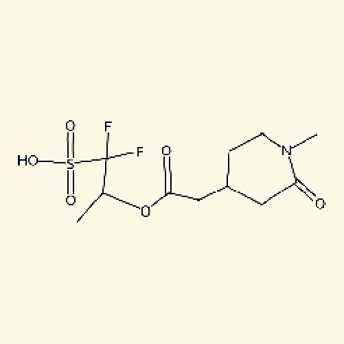 CC(OC(=O)CC1CCN(C)C(=O)C1)C(F)(F)S(=O)(=O)O